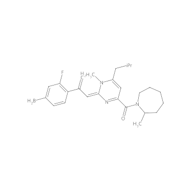 Bc1ccc(C(=C)/C=C2/N=C(C(=O)N3CCCCCC3C)C=C(CC(C)C)N2C)c(F)c1